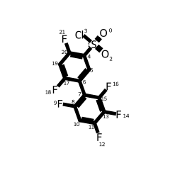 O=S(=O)(Cl)c1cc(-c2c(F)cc(F)c(F)c2F)c(F)cc1F